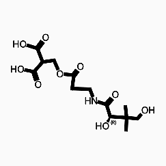 CC(C)(CO)[C@@H](O)C(=O)NCCC(=O)OCC(C(=O)O)C(=O)O